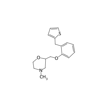 CN1CCOC(COc2ccccc2Cc2cccs2)C1